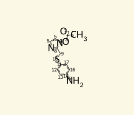 CC(=O)On1ccnc1CSc1ccc(N)cc1